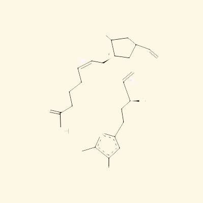 C=CC1CC(O)[C@H](C/C=C\CCCC(=O)O)[C@H]1/C=C/[C@@H](O)CCc1cc(Br)c(C)s1